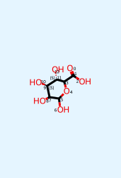 O=C(O)C1OC(O)C(O)[C@@H](O)[C@@H]1O